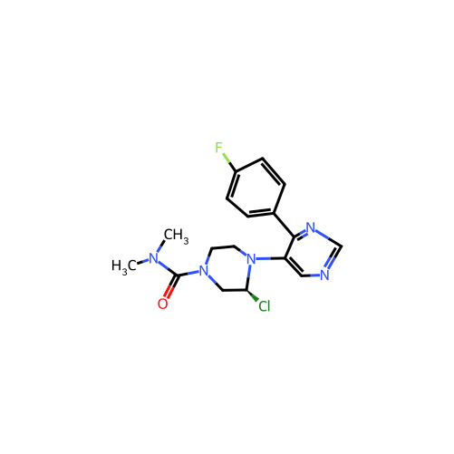 CN(C)C(=O)N1CCN(c2cncnc2-c2ccc(F)cc2)[C@@H](Cl)C1